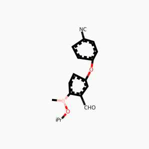 [C-]#[N+]c1ccc(Oc2ccc(B(C)OC(C)C)c(C=O)c2)cc1